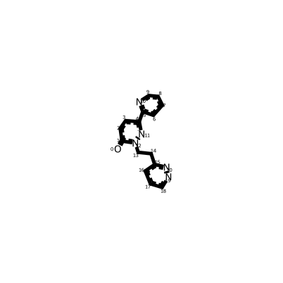 O=c1ccc(-c2ccccn2)nn1CCc1cccnn1